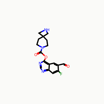 O=Cc1cc2c(OC(=O)N3CCC4(CC3)CNC4)ncnc2cc1F